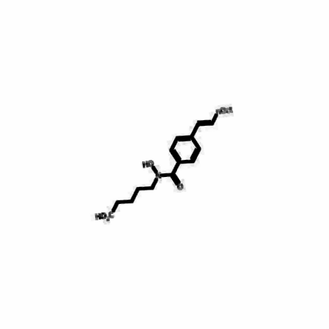 CCCCCCCCC=Cc1ccc(C(=O)N(O)CCCCC(=O)O)cc1